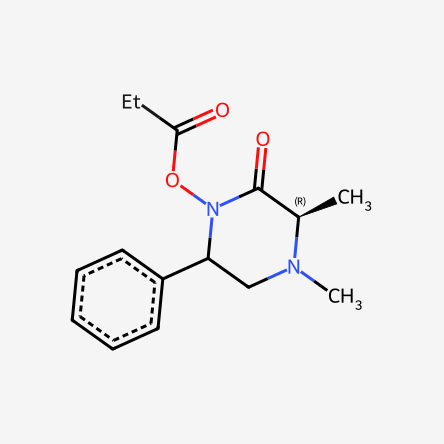 CCC(=O)ON1C(=O)[C@@H](C)N(C)CC1c1ccccc1